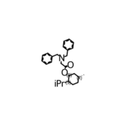 CC(C)[C@@H]1CC[C@@H](C)C[C@H]1OC(=O)CN(Cc1ccccc1)Cc1ccccc1